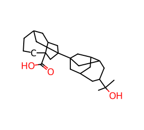 CC(C)(O)C1CC2CC3CC(C45CC6CCCC(C(=O)O)(C4)C(C6)C5)(C2)CC3C1